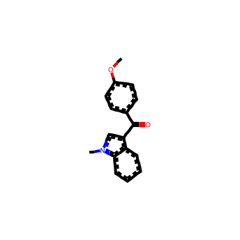 COc1ccc(C(=O)c2cn(C)c3ccccc23)cc1